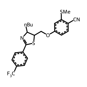 CCCCC1N=C(c2ccc(C(F)(F)F)cc2)SC1COc1ccc(C#N)c(SC)c1